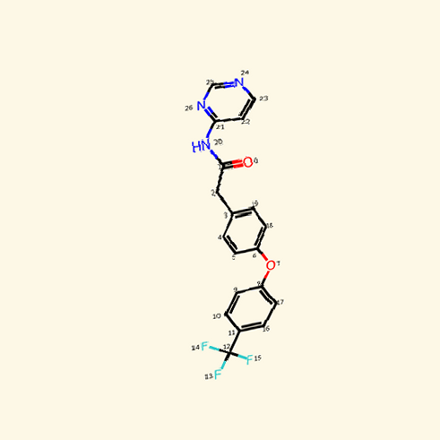 O=C(Cc1ccc(Oc2ccc(C(F)(F)F)cc2)cc1)Nc1ccncn1